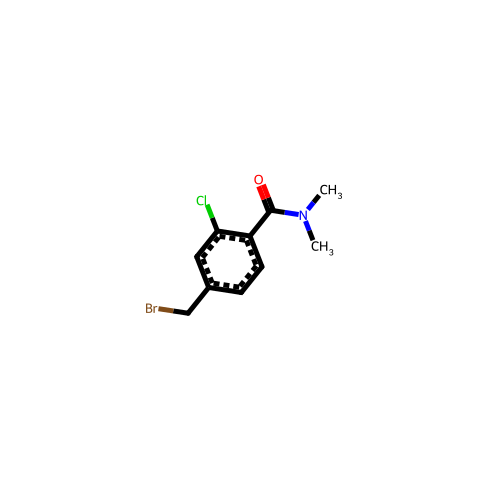 CN(C)C(=O)c1ccc(CBr)cc1Cl